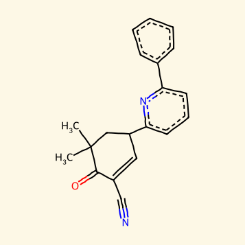 CC1(C)CC(c2cccc(-c3ccccc3)n2)C=C(C#N)C1=O